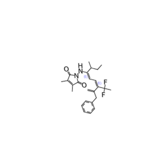 C=C(Cc1ccccc1)/C(=C\C=C(\NN1C(=O)C(C)=C(C)C1=O)C(C)CC)C(C)(F)F